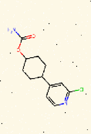 NC(=O)OC1CCC(c2ccnc(Cl)c2)CC1